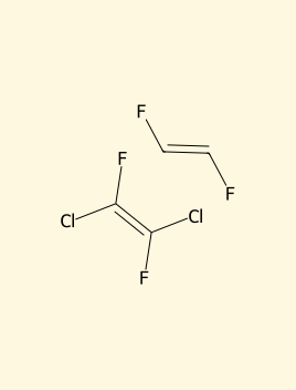 FC(Cl)=C(F)Cl.FC=CF